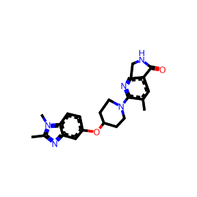 Cc1cc2c(nc1N1CCC(Oc3ccc4c(c3)nc(C)n4C)CC1)CNC2=O